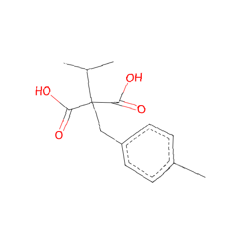 Cc1ccc(CC(C(=O)O)(C(=O)O)C(C)C)cc1